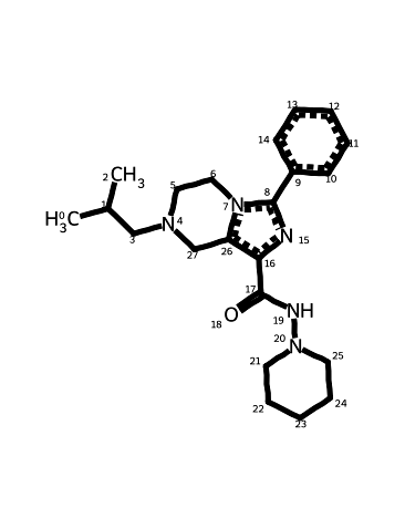 CC(C)CN1CCn2c(-c3ccccc3)nc(C(=O)NN3CCCCC3)c2C1